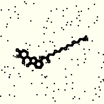 CNCCOCCOCCOCCC(=O)Nc1cccc2c1CN(C1CCC(=O)NC1=O)C2=O